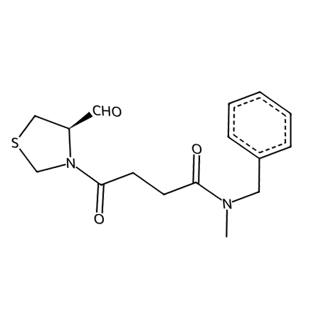 CN(Cc1ccccc1)C(=O)CCC(=O)N1CSC[C@H]1C=O